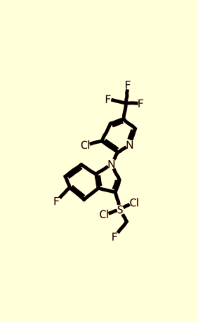 FCS(Cl)(Cl)c1cn(-c2ncc(C(F)(F)F)cc2Cl)c2ccc(F)cc12